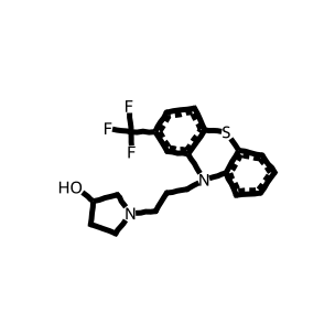 OC1CCN(CCCN2c3ccccc3Sc3ccc(C(F)(F)F)cc32)C1